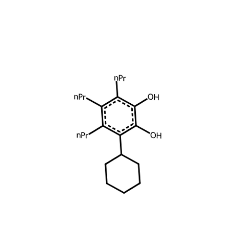 CCCc1c(O)c(O)c(C2CCCCC2)c(CCC)c1CCC